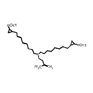 C=C(C)CCN(CCCCCCCCC1CC1CCCCCCCC)CCCCCCCCC1CC1CCCCCCCC